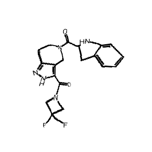 O=C(c1[nH]nc2c1CN(C(=O)C1Cc3ccccc3N1)CC2)N1CC(F)(F)C1